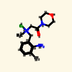 C[N+](Cl)(CC(=O)N1CCOCC1)Cc1cccc(C(F)(F)F)c1N